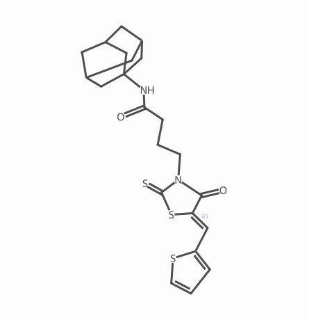 O=C(CCCN1C(=O)/C(=C/c2cccs2)SC1=S)NC12CC3CC(CC(C3)C1)C2